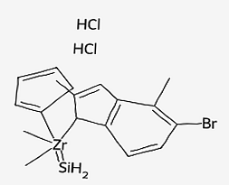 CC1=Cc2c(ccc(Br)c2C)[CH]1[Zr]([CH3])([CH3])(=[SiH2])[C]1=CC=CC1.Cl.Cl